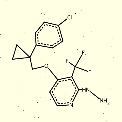 NNc1nccc(OCC2(c3ccc(Cl)cc3)CC2)c1C(F)(F)F